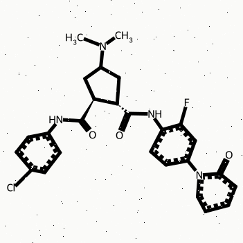 CN(C)C1C[C@H](C(=O)Nc2ccc(Cl)cc2)[C@@H](C(=O)Nc2ccc(-n3ccccc3=O)cc2F)C1